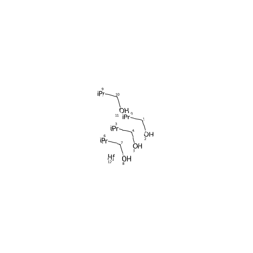 CC(C)CO.CC(C)CO.CC(C)CO.CC(C)CO.[Hf]